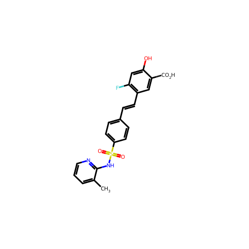 Cc1cccnc1NS(=O)(=O)c1ccc(C=Cc2cc(C(=O)O)c(O)cc2F)cc1